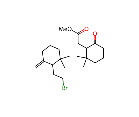 C=C1CCCC(C)(C)C1CCBr.COC(=O)CC1C(=O)CCCC1(C)C